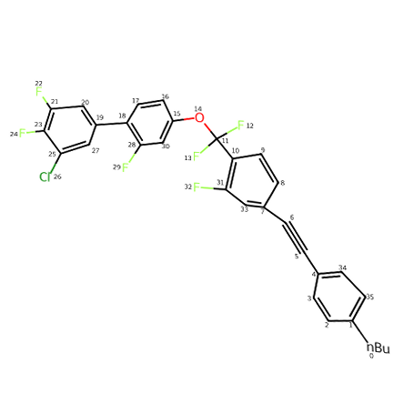 CCCCc1ccc(C#Cc2ccc(C(F)(F)Oc3ccc(-c4cc(F)c(F)c(Cl)c4)c(F)c3)c(F)c2)cc1